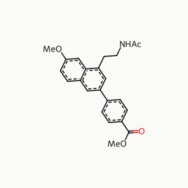 COC(=O)c1ccc(-c2cc(CCNC(C)=O)c3cc(OC)ccc3c2)cc1